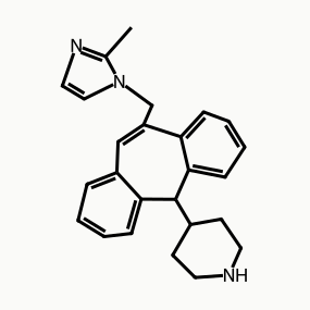 Cc1nccn1CC1=Cc2ccccc2C(C2CCNCC2)c2ccccc21